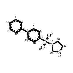 O=S(=O)(c1ccc(-c2ccccc2)cc1)N1CCSC1